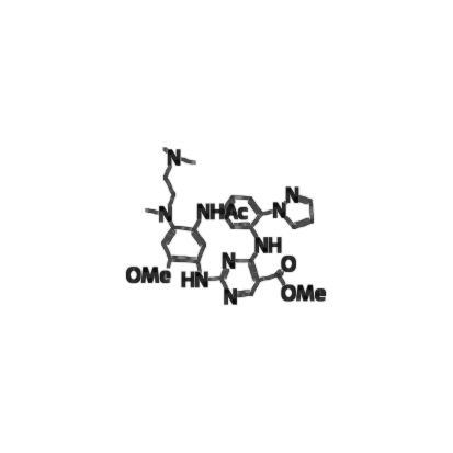 COC(=O)c1cnc(Nc2cc(NC(C)=O)c(N(C)CCN(C)C)cc2OC)nc1Nc1ccccc1-n1cccn1